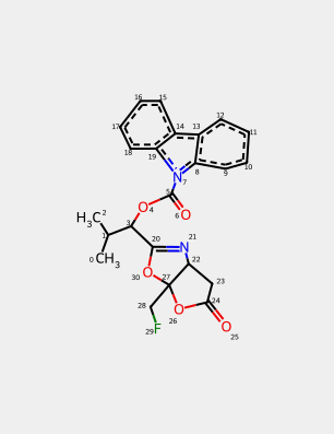 CC(C)C(OC(=O)n1c2ccccc2c2ccccc21)C1=NC2CC(=O)OC2(CF)O1